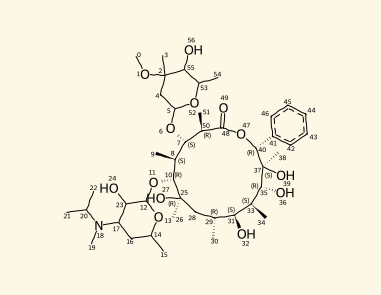 COC1(C)CC(O[C@H]2[C@H](C)[C@@H](OC3OC(C)CC(N(C)C(C)C)C3O)[C@](C)(O)C[C@@H](C)[C@H](O)[C@H](C)[C@@H](O)[C@](C)(O)[C@@H](c3ccccc3)OC(=O)[C@@H]2C)OC(C)C1O